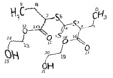 CCC(SC(=S)SC(CC)C(=O)OCCO)C(=O)OCCO